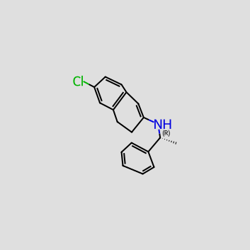 C[C@@H](NC1=Cc2ccc(Cl)cc2CC1)c1ccccc1